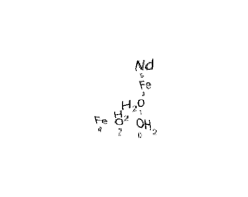 O.O.O.[Fe].[Fe].[Nd]